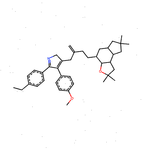 C=C(CCC1CC2CC(C)(C)CC2C2CC(C)(C)OC12)CC1=C(c2ccc(OC)cc2)C(c2ccc(CC)cc2)=NC1